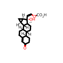 C[C@]12CC[C@H]3[C@@H](CCC4=CC(=O)CC[C@@H]43)[C@@H]1[C@H]1C[C@H]1[C@@]2(O)/C=C\OC(=O)O